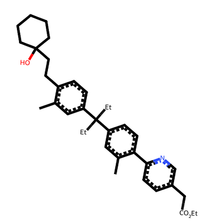 CCOC(=O)Cc1ccc(-c2ccc(C(CC)(CC)c3ccc(CCC4(O)CCCCC4)c(C)c3)cc2C)nc1